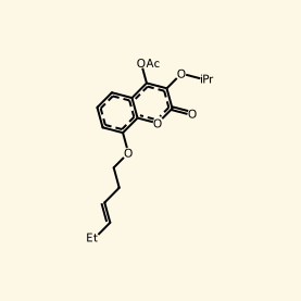 CCC=CCCOc1cccc2c(OC(C)=O)c(OC(C)C)c(=O)oc12